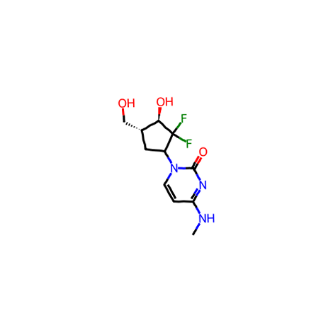 CNc1ccn(C2C[C@H](CO)[C@@H](O)C2(F)F)c(=O)n1